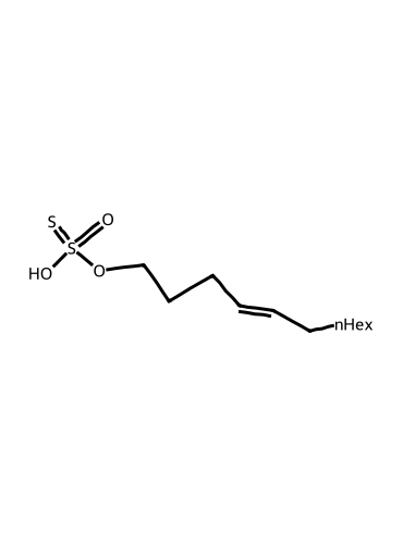 CCCCCCCC=CCCCOS(=O)(O)=S